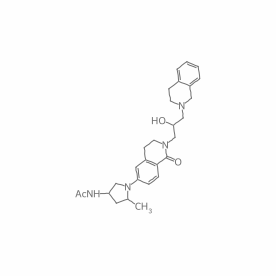 CC(=O)NC1CC(C)N(c2ccc3c(c2)CCN(CC(O)CN2CCc4ccccc4C2)C3=O)C1